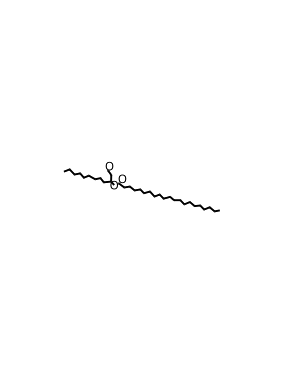 CCCCCCCCCCCCCCCCCCCCC(=O)OC(CC=O)CCCCCCCCC